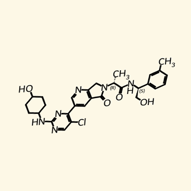 Cc1cccc([C@@H](CO)NC(=O)[C@@H](C)N2Cc3ncc(-c4nc(NC5CCC(O)CC5)ncc4Cl)cc3C2=O)c1